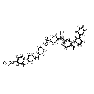 O=C(OC[C@H]1CC[C@H](CN2CC=C(c3ccc([N+](=O)[O-])cc3F)CC2)CC1)N1CCC(Nc2ncc(F)c(-c3cccc(-c4ccccc4)c3)n2)CC1